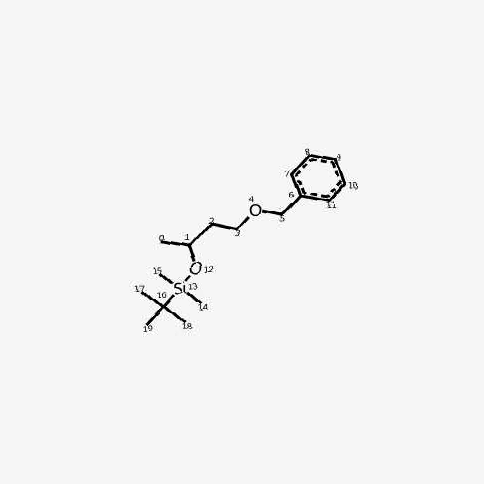 CC(CCOCc1ccccc1)O[Si](C)(C)C(C)(C)C